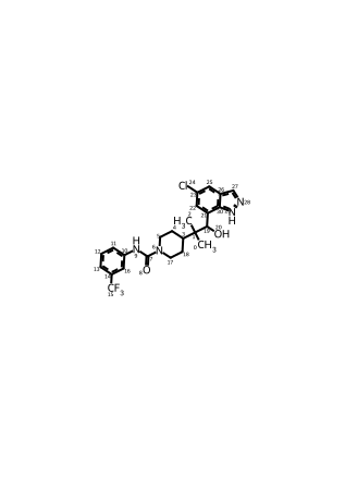 CC(C)(C1CCN(C(=O)Nc2cccc(C(F)(F)F)c2)CC1)C(O)c1cc(Cl)cc2cn[nH]c12